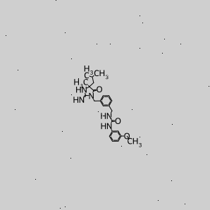 COc1cccc(NC(=O)NCc2cccc(CN3C(=N)NC(C)(CC(C)C)C3=O)c2)c1